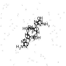 Nc1nc2c(ncn2[C@@H]2O[C@@H]3CO[P@@](O)(=S)OC4[C@@H](CO[PH](O)(S)O[C@H]2C3F)O[C@@H](n2cnc3c(N)ncnc32)[C@H]4F)c(=O)[nH]1